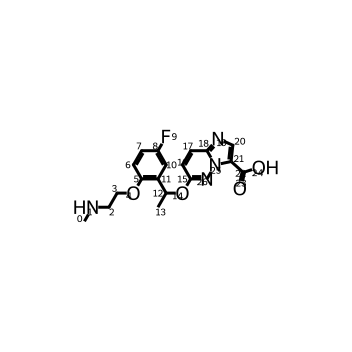 CNCCOc1ccc(F)cc1C(C)Oc1ccc2ncc(C(=O)O)n2n1